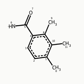 Cc1ccc(C([NH])=O)c(C)c1C